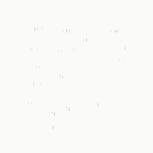 CN1N=C(c2ccc(Cl)cc2Cl)C(C)(N(OC(=O)OC(C)(C)C)C(=O)OC(C)(C)C)C1=O